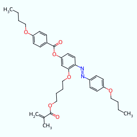 C=C(C)C(=O)OCCCCOc1cc(OC(=O)c2ccc(OCCCC)cc2)ccc1/N=N/c1ccc(OCCCC)cc1